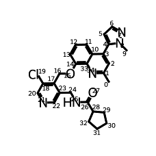 Cc1cc(-c2ccnn2C)c2cccc(OCc3c(Cl)cncc3CNC(=O)C3CCCC3)c2n1